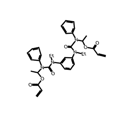 C=CC(=O)OC(C)N(C(=O)N(CC)c1cccc(N(CC)C(=O)N(c2ccccc2)C(C)OC(=O)C=C)c1)c1ccccc1